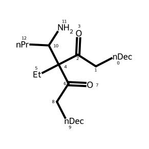 CCCCCCCCCCCC(=O)C(CC)(C(=O)CCCCCCCCCCC)C(N)CCC